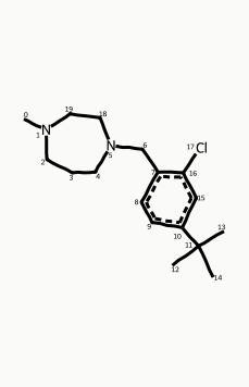 CN1CCCN(Cc2ccc(C(C)(C)C)cc2Cl)CC1